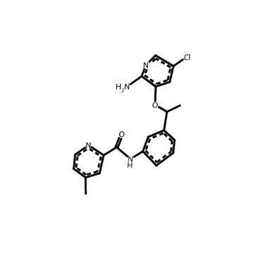 Cc1ccnc(C(=O)Nc2cccc(C(C)Oc3cc(Cl)cnc3N)c2)c1